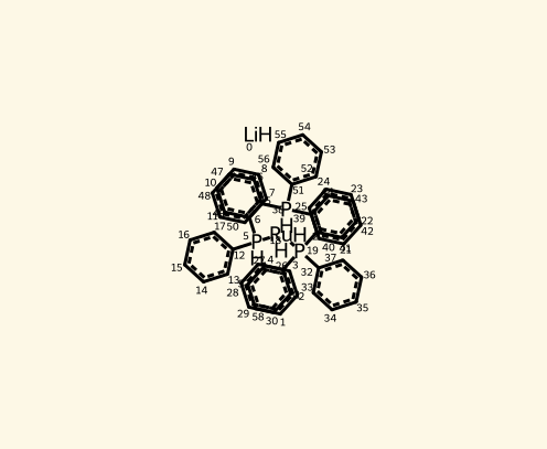 [LiH].c1ccc([PH](c2ccccc2)(c2ccccc2)[RuH]([PH](c2ccccc2)(c2ccccc2)c2ccccc2)[PH](c2ccccc2)(c2ccccc2)c2ccccc2)cc1